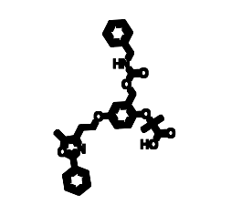 Cc1oc(-c2ccccc2)nc1CCOc1ccc(OC(C)(C)C(=O)O)c(COC(=O)NCc2ccccc2)c1